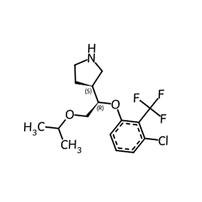 CC(C)OC[C@H](Oc1cccc(Cl)c1C(F)(F)F)[C@H]1CCNC1